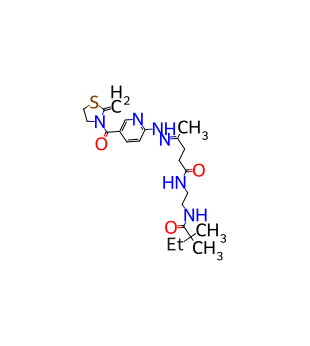 C=C1SCCN1C(=O)c1ccc(N/N=C(\C)CCC(=O)NCCNC(=O)C(C)(C)CC)nc1